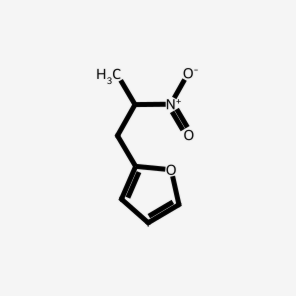 CC(Cc1c[c]co1)[N+](=O)[O-]